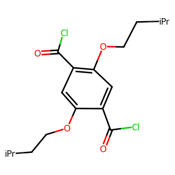 CC(C)CCOc1cc(C(=O)Cl)c(OCCC(C)C)cc1C(=O)Cl